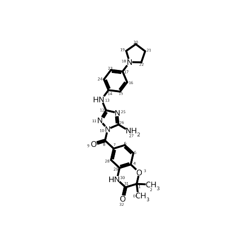 CC1(C)Oc2ccc(C(=O)n3nc(Nc4ccc(N5CCCC5)cc4)nc3N)cc2NC1=O